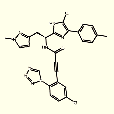 Cc1ccc(-c2nc([C@H](Cc3ccn(C)n3)NC(=O)C#Cc3cc(Cl)ccc3-n3cnnn3)[nH]c2Cl)cc1